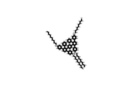 CCCCCCCCCCOc1ccc(-c2ccc(-c3ccc(OCCCCCCCCCC)cc3)c(-c3ccc(-c4c(-c5ccc(OCCCCCCCCCC)cc5)ccc(-c5ccc(OCCCCCCCCCC)cc5)c4-c4ccccc4)cc3)c2-c2ccccc2)cc1